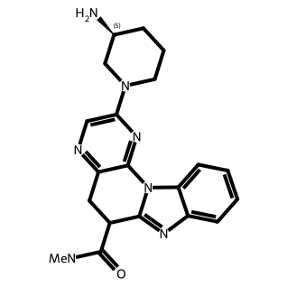 CNC(=O)C1Cc2ncc(N3CCC[C@H](N)C3)nc2-n2c1nc1ccccc12